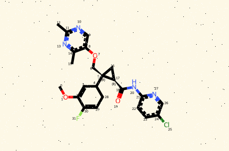 COC1=CC([C@]2(COc3cnc(C)nc3C)C[C@H]2C(=O)Nc2ccc(Cl)cn2)CC=C1F